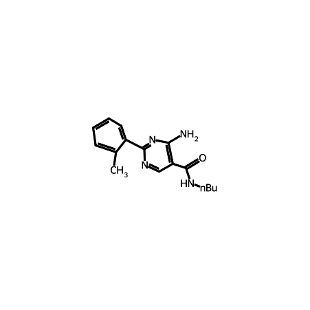 CCCCNC(=O)c1cnc(-c2ccccc2C)nc1N